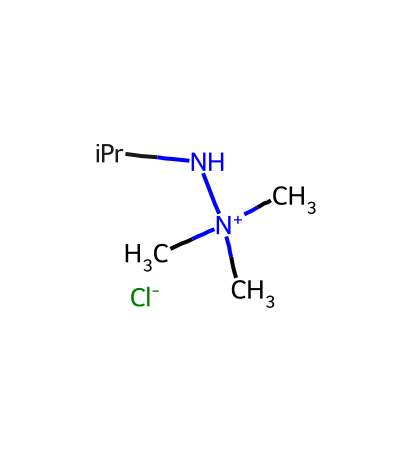 CC(C)N[N+](C)(C)C.[Cl-]